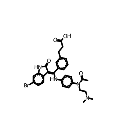 CC(=O)N(CCN(C)C)c1ccc(NC(=C2C(=O)Nc3cc(Br)ccc32)c2cccc(CCC(=O)O)c2)cc1